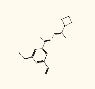 C=Cc1cc(CC)cc(/C(C)=N/C=C(\C)C2CCC2)c1